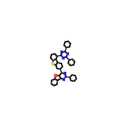 c1ccc(-c2nc(-c3ccccc3)nc(-c3cccc4sc5cc(-c6nc(-c7ccccc7)nc7c6oc6ccccc67)ccc5c34)n2)cc1